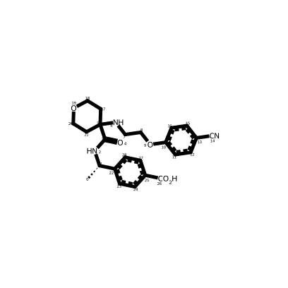 C[C@H](NC(=O)C1(NCCOc2ccc(C#N)cc2)CCOCC1)c1ccc(C(=O)O)cc1